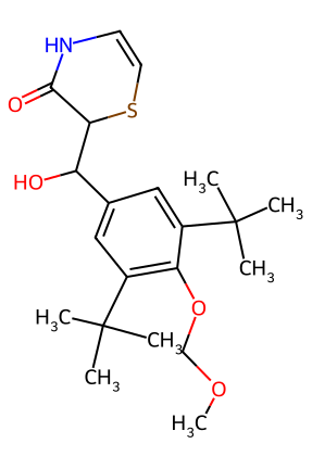 COCOc1c(C(C)(C)C)cc(C(O)C2SC=CNC2=O)cc1C(C)(C)C